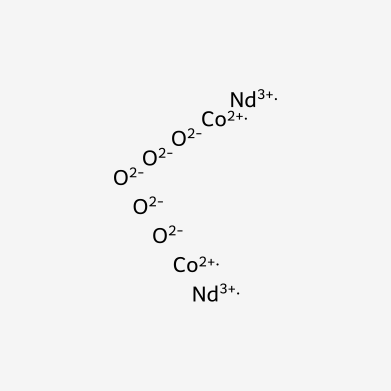 [Co+2].[Co+2].[Nd+3].[Nd+3].[O-2].[O-2].[O-2].[O-2].[O-2]